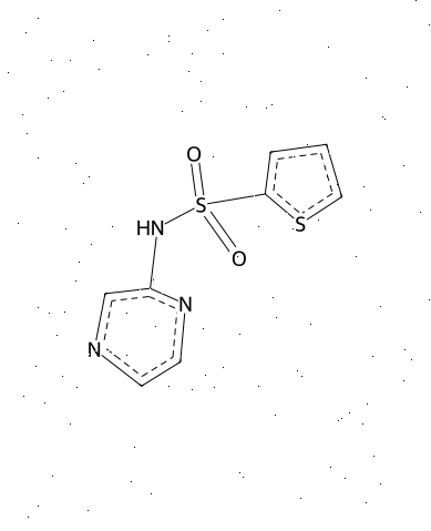 O=S(=O)(Nc1cnccn1)c1cccs1